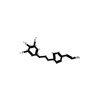 CCCC=Cc1ccc(CCCc2cc(F)c(F)c(F)c2)cc1